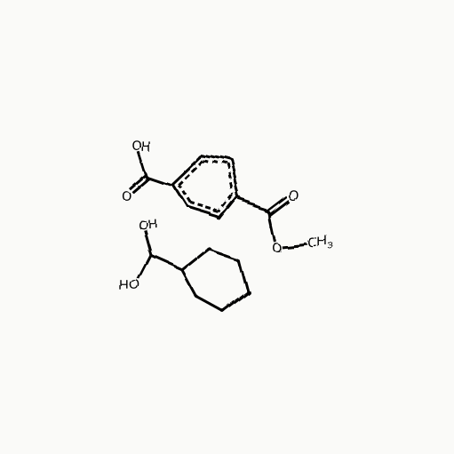 COC(=O)c1ccc(C(=O)O)cc1.OC(O)C1CCCCC1